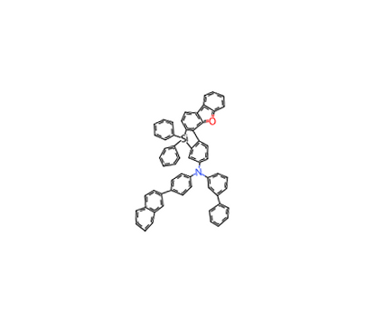 c1ccc(-c2cccc(N(c3ccc(-c4ccc5ccccc5c4)cc3)c3ccc4c(c3)[Si](c3ccccc3)(c3ccccc3)c3ccc5c(oc6ccccc65)c3-4)c2)cc1